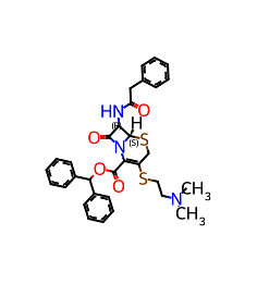 CN(C)CCSC1=C(C(=O)OC(c2ccccc2)c2ccccc2)N2C(=O)[C@@H](NC(=O)Cc3ccccc3)[C@@H]2SC1